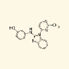 Cc1nccc(-n2c(Nc3cccc(O)c3)nc3ccccc32)n1